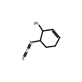 CC(C)C1C=CCCC1N=C=S